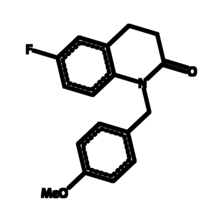 COc1ccc(CN2C(=O)CCc3cc(F)ccc32)cc1